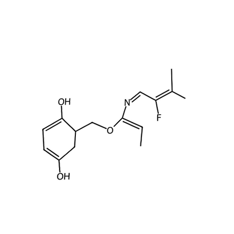 C/C=C(/N=C\C(F)=C(C)C)OCC1CC(O)=CC=C1O